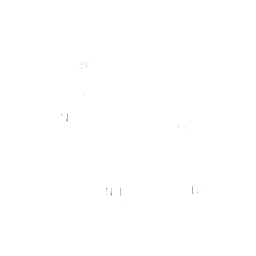 Nc1cnc(Br)cc1C(=O)CBr